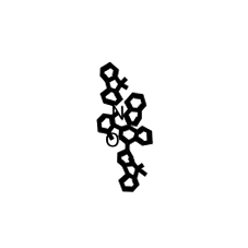 CC1(C)c2ccccc2-c2ccc(-c3c4ccccc4cc4c3oc3cccc(N(c5ccc6c(c5)C(C)(C)c5ccccc5-6)c5cccc6ccccc56)c34)cc21